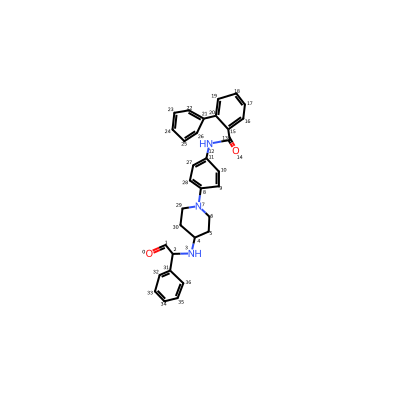 O=CC(NC1CCN(c2ccc(NC(=O)c3ccccc3-c3ccccc3)cc2)CC1)c1ccccc1